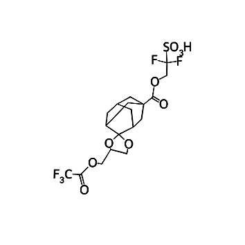 O=C(OCC1COC2(O1)C1CC3CC2CC(C(=O)OCC(F)(F)S(=O)(=O)O)(C3)C1)C(F)(F)F